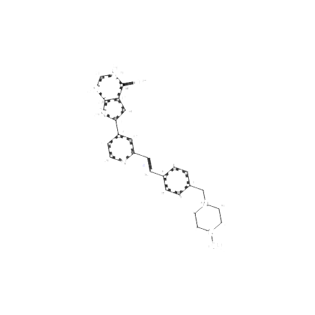 CN1CCN(Cc2ccc(/C=C/c3cc(-c4cc5c(=O)[nH]cnc5[nH]4)ccn3)cc2)CC1